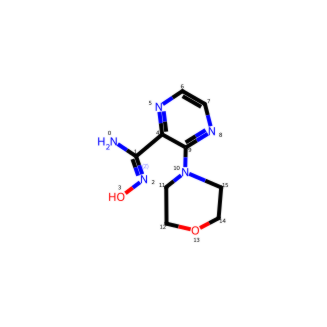 N/C(=N\O)c1nccnc1N1CCOCC1